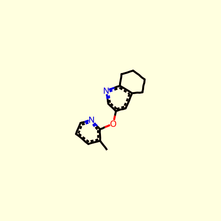 Cc1cccnc1Oc1cnc2c(c1)CCCC2